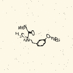 CCCCOc1cccc(CCN[C@@H](C)C(=O)NC)c1